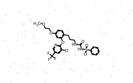 COCCOc1ccc(CCCNC(=O)NS(=O)(=O)c2ccccc2)c(Oc2ncc(C(F)(F)F)cc2Cl)c1